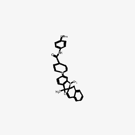 CCCCc1ccc(NC(=O)C2CCN(c3ccc4c(c3)N(C)C3(C=Cc5ccccc5C3)C4(C)C)CC2)cc1